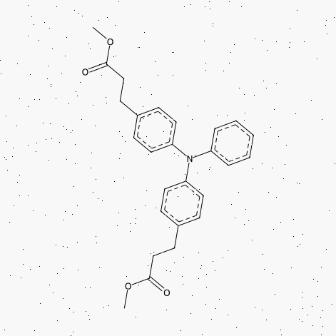 COC(=O)CCc1ccc(N(c2ccccc2)c2ccc(CCC(=O)OC)cc2)cc1